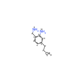 CCCc1ccc(CN)c(N)c1